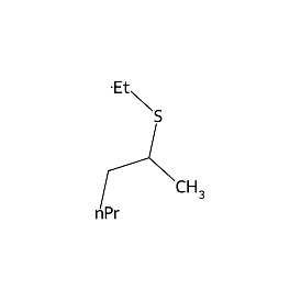 C[CH]SC(C)CCCC